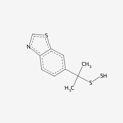 CC(C)(SS)c1ccc2ncsc2c1